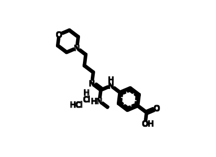 CNC(=NCCCN1CCOCC1)Nc1ccc(C(=O)O)cc1.Cl.Cl